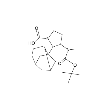 CN(C(=O)OC(C)(C)C)C1CCN(C(=O)O)C1C12CC3CC(CC(C3)C1)C2